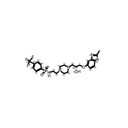 Cc1nc2cc(OC[C@H](O)CN3CCN(CCNS(=O)(=O)c4ccc(C(F)(F)F)cc4)CC3)ccc2s1